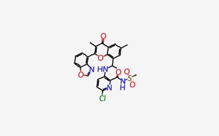 Cc1cc(C(C)Nc2ccc(Cl)nc2C(=O)NS(C)(=O)=O)c2oc(-c3cccc4ocnc34)c(C)c(=O)c2c1